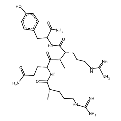 C[C@@H](CCCNC(=N)N)C(=O)NC(CCC(N)=O)C(=O)N(C)[C@@H](CCCNC(=N)N)C(=O)NC(Cc1ccc(O)cc1)C(N)=O